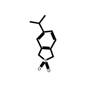 CC(C)c1ccc2c(c1)CS(=O)(=O)C2